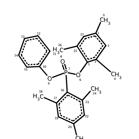 Cc1cc(C)c(OP(=O)(Oc2ccccc2)c2c(C)cc(C)cc2C)c(C)c1